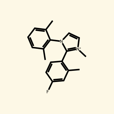 Cc1cc(F)ccc1-c1n(-c2c(C)cccc2C)cc[n+]1C